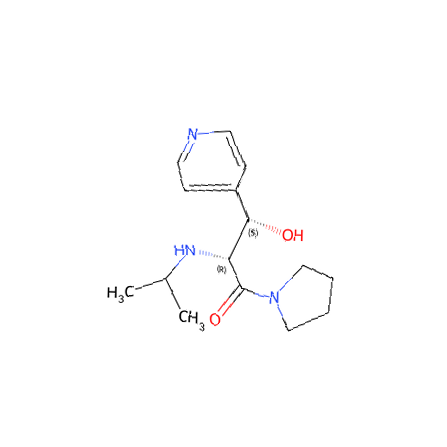 CC(C)N[C@@H](C(=O)N1CCCC1)[C@@H](O)c1ccncc1